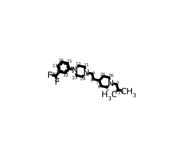 CC(C)CN1CCC(CCN2CCN(c3cccc(C(F)F)c3)CC2)CC1